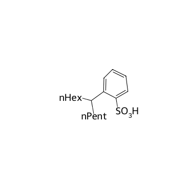 CCCCCCC(CCCCC)c1ccccc1S(=O)(=O)O